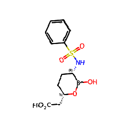 O=C(O)C[C@@H]1CC[C@H](NS(=O)(=O)c2ccccc2)B(O)O1